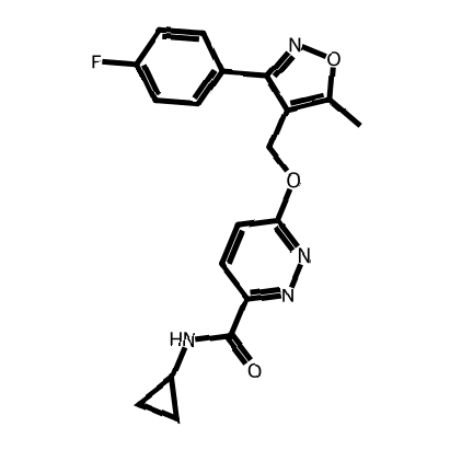 Cc1onc(-c2ccc(F)cc2)c1COc1ccc(C(=O)NC2CC2)nn1